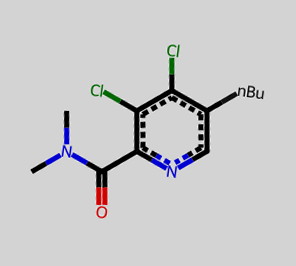 CCCCc1cnc(C(=O)N(C)C)c(Cl)c1Cl